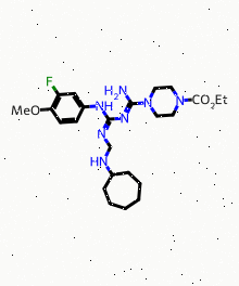 CCOC(=O)N1CCN(/C(N)=N/C(=N\CNC2CCCCCC2)Nc2ccc(OC)c(F)c2)CC1